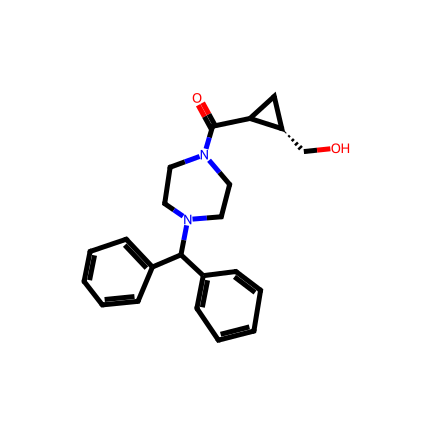 O=C(C1C[C@@H]1CO)N1CCN(C(c2ccccc2)c2ccccc2)CC1